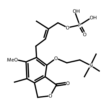 COc1c(C)c2c(c(OCC[Si](C)(C)C)c1C/C=C(\C)COP(=O)(O)O)C(=O)OC2